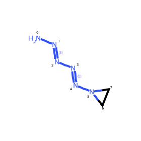 N/N=N/N=N/N1CC1